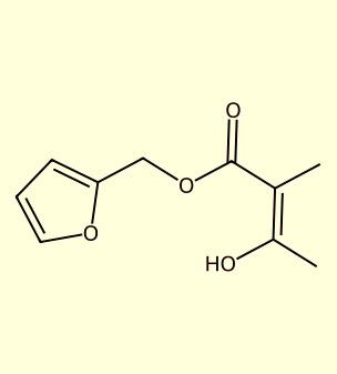 CC(O)=C(C)C(=O)OCc1ccco1